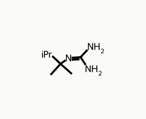 CC(C)C(C)(C)N=C(N)N